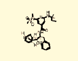 CC[C@H](C)Nc1cc(C(=O)N[C@@H](Cc2ccccc2)[C@H](O)[C@@H]2N[C@H]3CC[C@@H]2CC3)cc(N(C)S(C)(=O)=O)n1